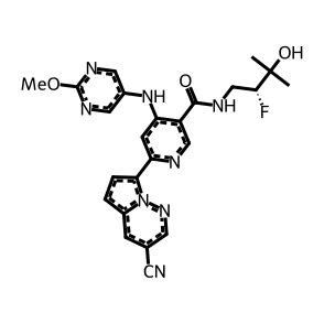 COc1ncc(Nc2cc(-c3ccc4cc(C#N)cnn34)ncc2C(=O)NC[C@@H](F)C(C)(C)O)cn1